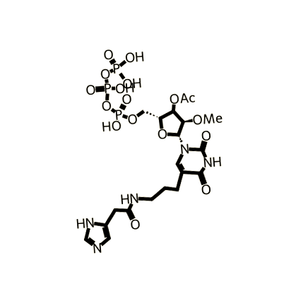 CO[C@@H]1C(OC(C)=O)[C@@H](COP(=O)(O)OP(=O)(O)OP(=O)(O)O)O[C@H]1n1cc(CCCNC(=O)Cc2cnc[nH]2)c(=O)[nH]c1=O